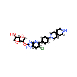 O[C@H]1COC2C(Oc3nc4nc(-c5ccc(N6CCC7(CCNCC7)CC6)cc5)c(Cl)cc4[nH]3)COC21